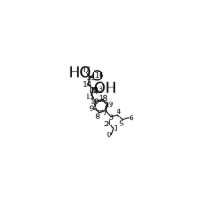 CCCC(CCC)c1ccc(C[C@@H](O)CC(=O)O)cc1